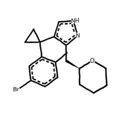 Cc1ccc(Br)cc1C1(c2c[nH]nc2C[C@@H]2CCCCO2)CC1